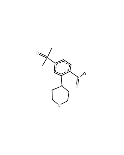 CP(C)(=O)c1ccc([N+](=O)[O-])c(N2CCOCC2)c1